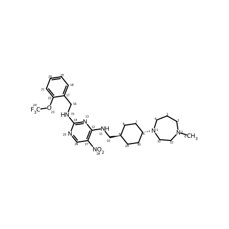 CN1CCCN([C@H]2CC[C@H](CNc3nc(NCc4ccccc4OC(F)(F)F)ncc3[N+](=O)[O-])CC2)CC1